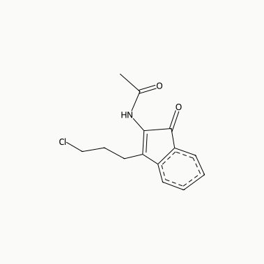 CC(=O)NC1=C(CCCCl)c2ccccc2C1=O